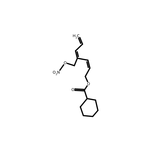 C=C/C=C(\C=C/COC(=O)C1CCCCC1)CO[N+](=O)[O-]